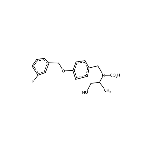 CC(CO)N(Cc1ccc(OCc2cccc(F)c2)cc1)C(=O)O